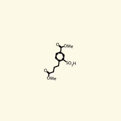 COC(=O)CCCc1ccc(C(=O)OC)cc1S(=O)(=O)O